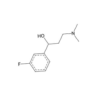 CN(C)CCC(O)c1cccc(F)c1